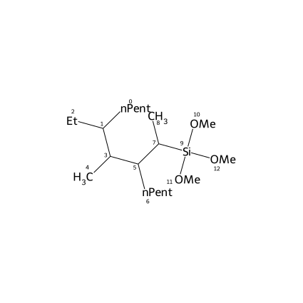 CCCCCC(CC)C(C)C(CCCCC)C(C)[Si](OC)(OC)OC